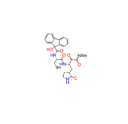 CNC(=O)C(=O)C(CC1CCNC1=O)NC(=O)C(CC(C)C)NC(=O)C1(O)c2ccccc2-c2ccccc21